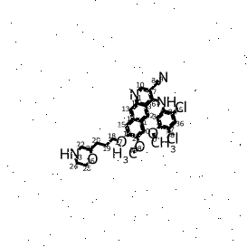 COc1cc(Nc2c(C#N)cnc3cc4cc(OCCCC5CNCCO5)c(OC)cc4cc23)c(Cl)cc1Cl